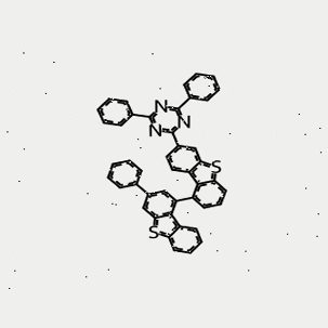 c1ccc(-c2cc(-c3cccc4sc5cc(-c6nc(-c7ccccc7)nc(-c7ccccc7)n6)ccc5c34)c3c(c2)sc2ccccc23)cc1